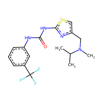 CC(C)N(C)Cc1csc(NC(=O)Nc2cccc(C(F)(F)F)c2)n1